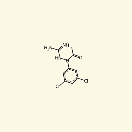 CC(=O)N(NC(=N)N)c1cc(Cl)cc(Cl)c1